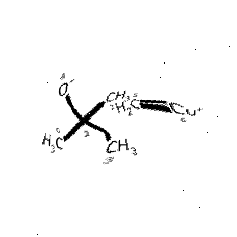 CC(C)(C)[O-].[CH2]=[Cu+]